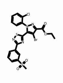 CCOC(=O)c1nn(-c2ccccc2Cl)c(-c2nc(-c3cccc(S(C)(=O)=O)c3)ns2)c1Br